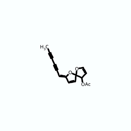 CC#CC#C/C=C1/C=CC2(OC=CC2OC(C)=O)O1